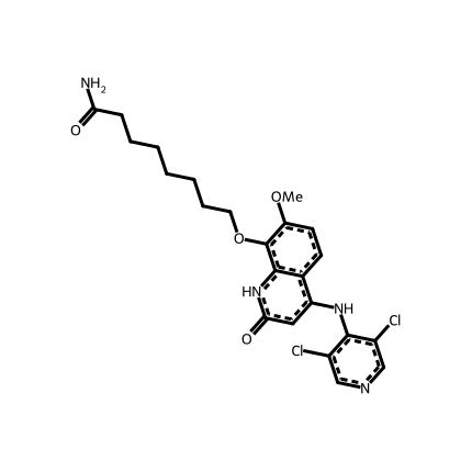 COc1ccc2c(Nc3c(Cl)cncc3Cl)cc(=O)[nH]c2c1OCCCCCCCC(N)=O